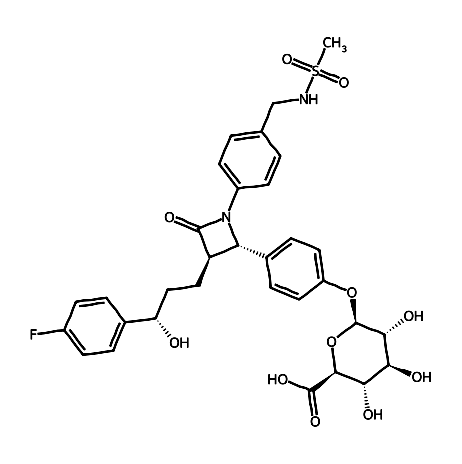 CS(=O)(=O)NCc1ccc(N2C(=O)[C@H](CC[C@H](O)c3ccc(F)cc3)[C@H]2c2ccc(O[C@@H]3O[C@H](C(=O)O)[C@@H](O)[C@H](O)[C@H]3O)cc2)cc1